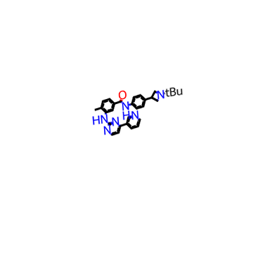 Cc1ccc(C(=O)Nc2ccc(C3CN(C(C)(C)C)C3)cc2)cc1Nc1nccc(-c2cccnc2)n1